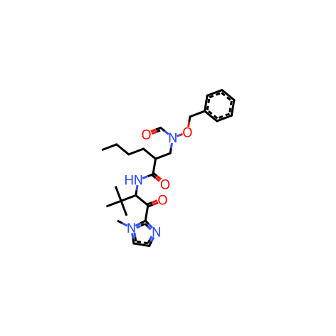 CCCCC(CN(C=O)OCc1ccccc1)C(=O)NC(C(=O)c1nccn1C)C(C)(C)C